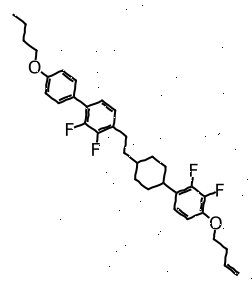 C=CCCOc1ccc(C2CCC(CCc3ccc(-c4ccc(OCCCC)cc4)c(F)c3F)CC2)c(F)c1F